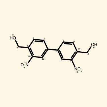 O=[N+]([O-])c1cc(-c2ccc(CO)c([N+](=O)[O-])c2)ccc1CO